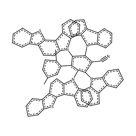 Cc1ccc(C)c(-c2c(-n3c4ccccc4c4c5sc6ccccc6c5ccc43)c(-n3c4ccccc4c4ccccc43)c(C#N)c(-n3c4ccccc4c4ccccc43)c2-n2c3ccccc3c3c4sc5ccccc5c4ccc32)c1